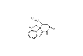 C=CC(N)C1(c2ccccc2)C(=O)NC(=O)CC1C